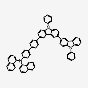 c1ccc(-n2c3ccccc3c3cc(-c4ccc5c(c4)c4cc(-c6ccc(-c7ccc(N(c8cccc9ccccc89)c8cccc9ccccc89)cc7)cc6)ccc4n5-c4ccccc4)ccc32)cc1